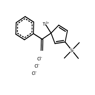 C=C(c1ccccc1)[C]1([Ti+3])C=CC([Si](C)(C)C)=C1.[Cl-].[Cl-].[Cl-]